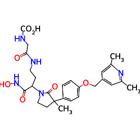 Cc1cc(COc2ccc(C3(C)CCN(C(CCNC(=O)CNC(=O)O)C(=O)NO)C3=O)cc2)cc(C)n1